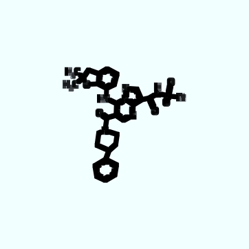 CCS(=O)(=O)NC(=O)c1cnn2c(Nc3cccc4c3OC(C)(C)C4)c(C(=O)N3CCC(c4ccccc4)CC3)cnc12